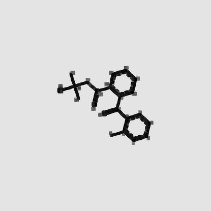 Cc1ccccc1C(=O)c1ccccc1[P](=O)CC(C)(C)Cl